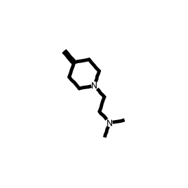 C=C1CCN(CCN(C)C)CC1